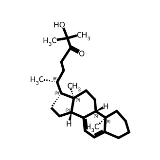 C[C@H](CCC(=O)C(C)(C)O)[C@H]1CC[C@H]2C3=CC=C4CCCC[C@]4(C)[C@H]3CC[C@]12C